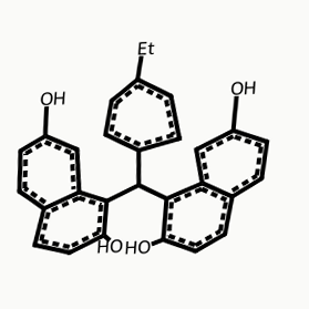 CCc1ccc(C(c2c(O)ccc3ccc(O)cc23)c2c(O)ccc3ccc(O)cc23)cc1